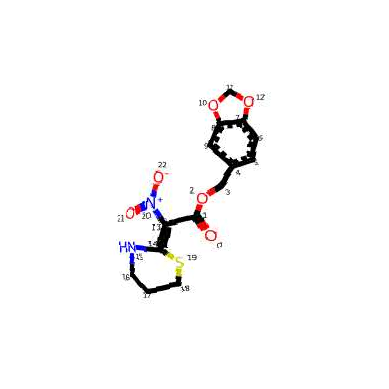 O=C(OCc1ccc2c(c1)OCO2)C(=C1NCCCS1)[N+](=O)[O-]